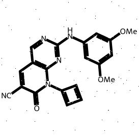 COc1cc(Nc2ncc3cc(C#N)c(=O)n(C4=CC=C4)c3n2)cc(OC)c1